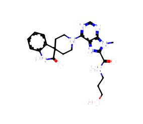 Cn1c(C(=O)NCCCO)nc2c(N3CCC4(CC3)C(=O)Nc3ccccc34)ncnc21